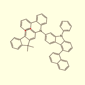 CC1(C)c2ccccc2-c2ccc(N(c3ccc4c5c(-c6cccc7ccccc67)cccc5n(-c5ccccc5)c4c3)c3ccccc3-c3ccccc3)cc21